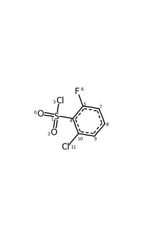 O=S(=O)(Cl)c1c(F)cccc1Cl